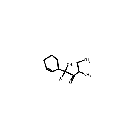 CCC(C)C(=O)C(C)(C)C1C=CCCC1